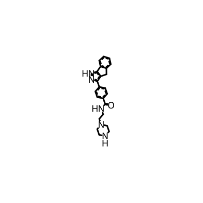 O=C(NCCN1CCNCC1)c1ccc(-c2n[nH]c3c2Cc2ccccc2-3)cc1